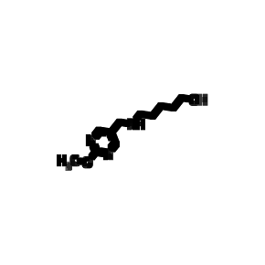 COc1ncc(CNCCCCCO)cn1